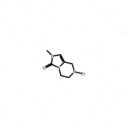 CCN1CCn2c(cn(C)c2=O)C1